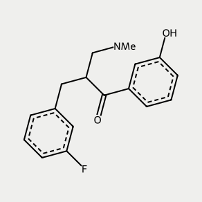 CNCC(Cc1cccc(F)c1)C(=O)c1cccc(O)c1